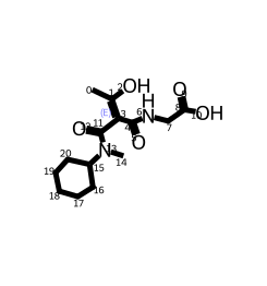 C/C(O)=C(/C(=O)NCC(=O)O)C(=O)N(C)C1CCCCC1